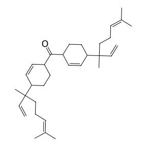 C=CC(C)(CCC=C(C)C)C1C=CC(C(=O)C2C=CC(C(C)(C=C)CCC=C(C)C)CC2)CC1